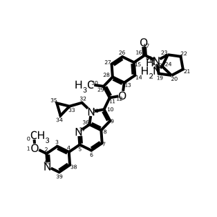 COc1cc(-c2ccc3cc(-c4oc5cc(C(=O)N6CC7CCC6[C@@H]7N)ccc5c4C)n(CC4CC4)c3n2)ccn1